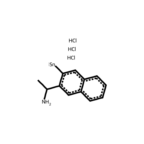 CC(N)c1cc2ccccc2c[c]1[Sn].Cl.Cl.Cl